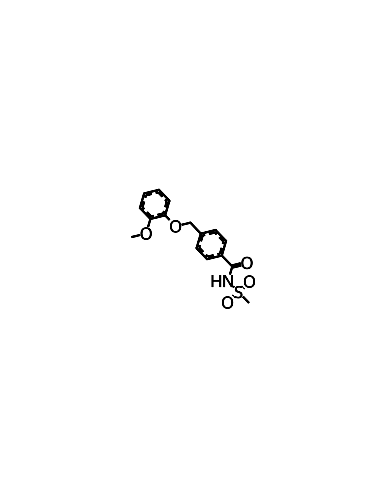 COc1ccccc1OCc1ccc(C(=O)NS(C)(=O)=O)cc1